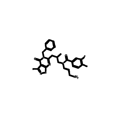 Cc1ccc(C(=O)N(CCCN)CC(C)Cc2nc3snc(C)c3c(=O)n2Cc2ccccc2)cc1F